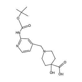 CC(C)(C)OC(=O)Nc1cc(CN2CCC(O)(C(=O)O)CC2)ccn1